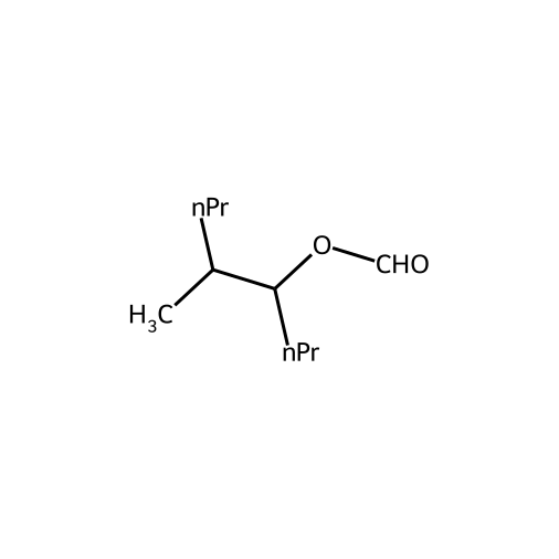 CCCC(C)C(CCC)OC=O